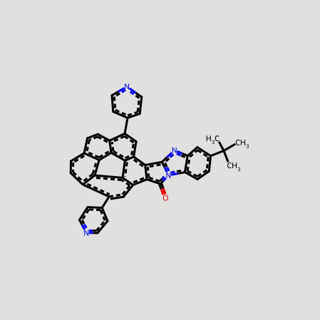 CC(C)(C)c1ccc2c(c1)nc1c3c4cc(-c5ccncc5)c5ccc6ccc7c(-c8ccncc8)cc(c3c(=O)n21)c1c7c6c5c41